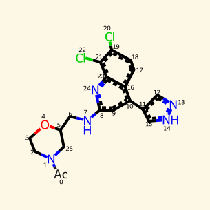 CC(=O)N1CCOC(CNc2cc(-c3cn[nH]c3)c3ccc(Cl)c(Cl)c3n2)C1